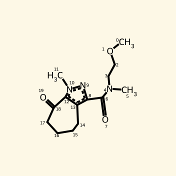 COCCN(C)C(=O)c1nn(C)c2c1CCCCC2=O